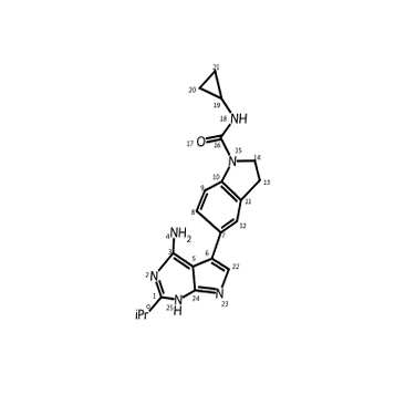 CC(C)c1nc(N)c2c(-c3ccc4c(c3)CCN4C(=O)NC3CC3)cnc-2[nH]1